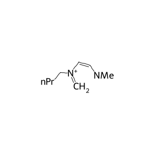 C=[N+](/C=C\NC)CCCC